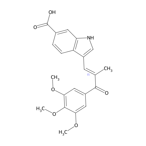 COc1cc(C(=O)/C(C)=C/c2c[nH]c3cc(C(=O)O)ccc23)cc(OC)c1OC